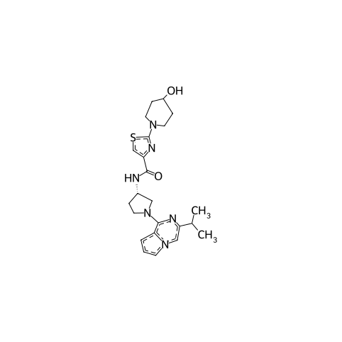 CC(C)c1cn2cccc2c(N2CC[C@H](NC(=O)c3csc(N4CCC(O)CC4)n3)C2)n1